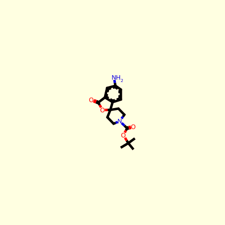 CC(C)(C)OC(=O)N1CCC2(CC1)OC(=O)c1cc(N)ccc12